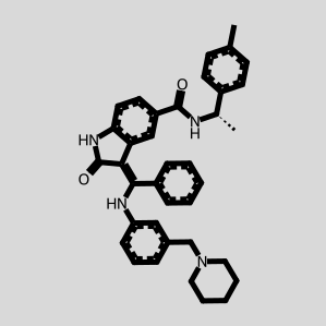 Cc1ccc([C@H](C)NC(=O)c2ccc3c(c2)/C(=C(/Nc2cccc(CN4CCCCC4)c2)c2ccccc2)C(=O)N3)cc1